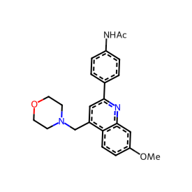 COc1ccc2c(CN3CCOCC3)cc(-c3ccc(NC(C)=O)cc3)nc2c1